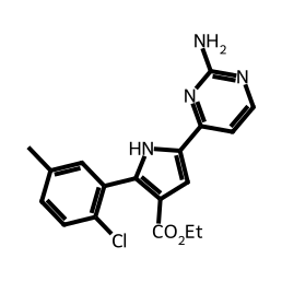 CCOC(=O)c1cc(-c2ccnc(N)n2)[nH]c1-c1cc(C)ccc1Cl